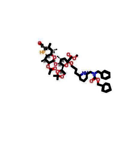 CC[C@H](C)C1O[C@H](O[C@H]2C([C@H]3COC(C)(C)O3)O[C@@](OCCCC3CCCC(CN(Cc4ccccc4)C(=O)OCc4ccccc4)N3)(C(=O)OC)C[C@H]2C)C(OC(C)=O)[C@@H](C)[C@@H]1PBB=O